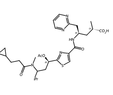 CC(=O)O[C@H](CC(C(C)C)N(C)C(=O)CCC1CC1)c1nc(C(=O)N[C@@H](Cc2ncccn2)C[C@H](C)C(=O)O)cs1